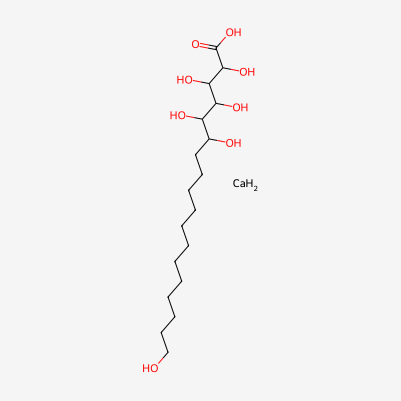 O=C(O)C(O)C(O)C(O)C(O)C(O)CCCCCCCCCCCCO.[CaH2]